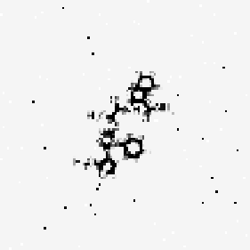 Cc1occc1-c1nnc(SC(C)C(=O)Nc2sc3c(c2C(N)=O)CCC3)n1-c1ccccc1